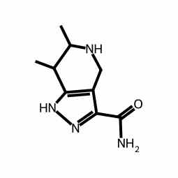 CC1NCc2c(C(N)=O)n[nH]c2C1C